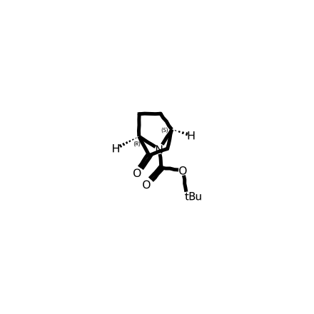 CC(C)(C)OC(=O)N1[C@H]2CC[C@@H]1C(=O)C2